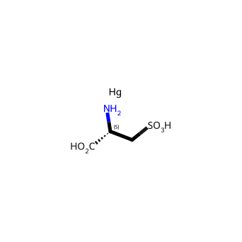 N[C@H](CS(=O)(=O)O)C(=O)O.[Hg]